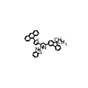 CC1(C)c2ccccc2-c2cc(C3=NN(c4nc5ccccc5s4)C(c4ccc(-c5c6ccccc6cc6ccccc56)s4)C3)ccc21